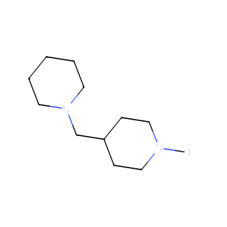 CC(C)N1CCC(CN2CCCCC2)CC1